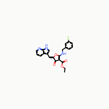 CCOC(=O)C1=C(NCc2cccc(F)c2)O/C(=C\c2c[nH]c3ncccc23)C1=O